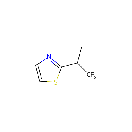 CC(c1nccs1)C(F)(F)F